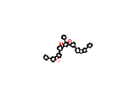 c1ccc(-c2ccc3c(c2)-c2cc(-c4ccc5oc6c(-c7ccccc7)c7oc8ccc(-c9ccc%10oc%11ccc(-c%12ccccc%12)cc%11c%10c9)cc8c7cc6c5c4)ccc2C3)cc1